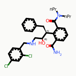 CCCN(CCC)C(=O)c1cccc(C(N)=O)c1[C@H](Cc1ccccc1)[C@@H](O)CNCc1ccc(Cl)cc1Cl